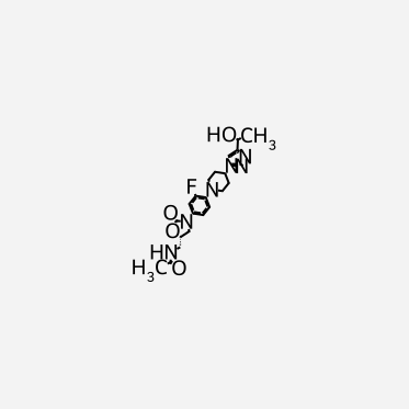 CC(=O)NC[C@H]1CN(c2ccc(N3CCC(n4cc(C(C)O)nn4)CC3)c(F)c2)C(=O)O1